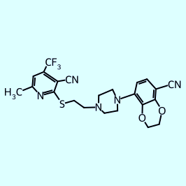 Cc1cc(C(F)(F)F)c(C#N)c(SCCN2CCN(c3ccc(C#N)c4c3OCCO4)CC2)n1